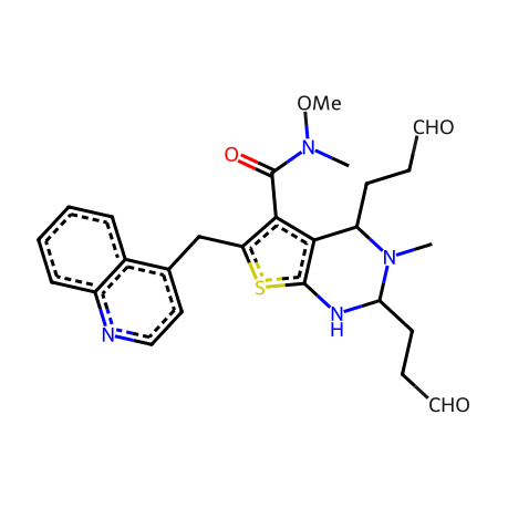 CON(C)C(=O)c1c(Cc2ccnc3ccccc23)sc2c1C(CCC=O)N(C)C(CCC=O)N2